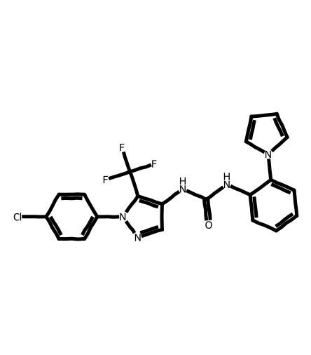 O=C(Nc1ccccc1-n1cccc1)Nc1cnn(-c2ccc(Cl)cc2)c1C(F)(F)F